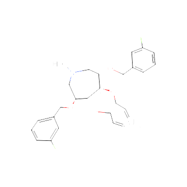 C=CCO[C@H]1[C@H](OCC=C)[C@@H](OCc2cccc(F)c2)CN(C)C[C@@H]1OCc1cccc(F)c1